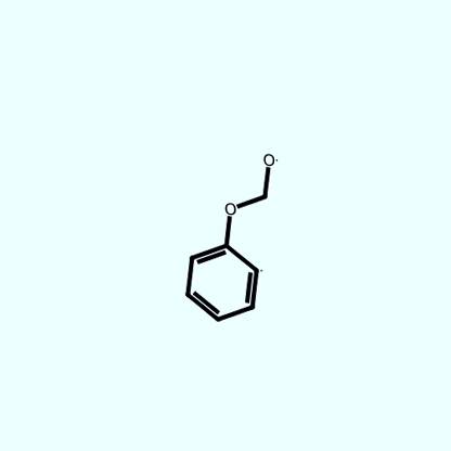 [O]COc1[c]cccc1